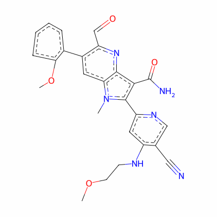 COCCNc1cc(-c2c(C(N)=O)c3nc(C=O)c(-c4ccccc4OC)cc3n2C)ncc1C#N